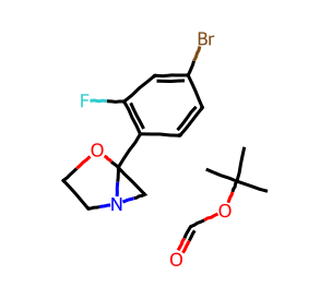 CC(C)(C)OC=O.Fc1cc(Br)ccc1C12CN1CCO2